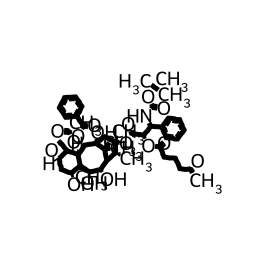 CC(=O)CCCC(=O)O[C@@H](C(=O)O[C@]1(C)C[C@@]2(O)[C@@H](OC(=O)c3ccccc3)[C@@H]3[C@]4(OC(C)=O)CO[C@@H]4C[C@H](O)[C@@]3(C)[C@H](O)[C@H](O)C([C@@H]1C)C2(C)C)C(NC(=O)OC(C)(C)C)c1ccccc1